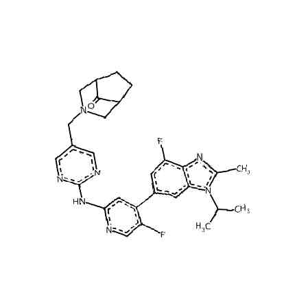 Cc1nc2c(F)cc(-c3cc(Nc4ncc(CN5CC6CCC(C5)C6=O)cn4)ncc3F)cc2n1C(C)C